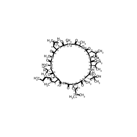 C/C=C/C[C@@H](C)CC1C(=O)NC(=O)N(C)[C@@H](CCN(C)C)C(=O)N(C)[C@@H](CC(C)(C)O)C(=O)N[C@H](C(C)C)C(=O)N(C)[C@H](CC(C)C)C(=O)N[C@H](C)C(=O)N[C@@H](C)C(=O)N(C)C(CC(C)C)C(=O)N(C)C(=O)N(C)[C@@H](C(C)C)C(=O)N1C